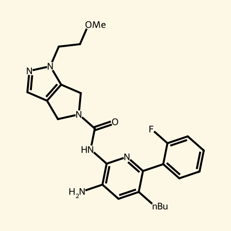 CCCCc1cc(N)c(NC(=O)N2Cc3cnn(CCOC)c3C2)nc1-c1ccccc1F